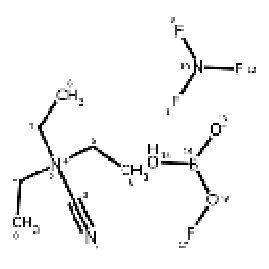 CC[N+](C#N)(CC)CC.FN(F)F.[O-]B(O)OF